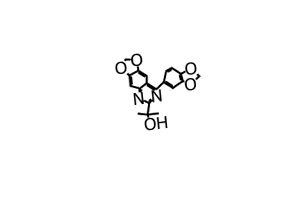 CC(C)(O)c1nc(-c2ccc3c(c2)OCO3)c2cc3c(cc2n1)OCO3